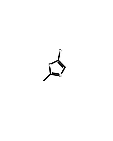 Cc1ncc([O])s1